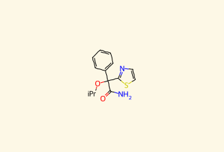 CC(C)OC(C(N)=O)(c1ccccc1)c1nccs1